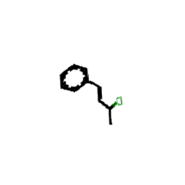 CC(Cl)C=Cc1ccccc1